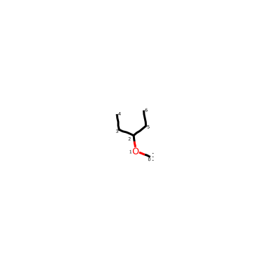 [C]OC(CC)CC